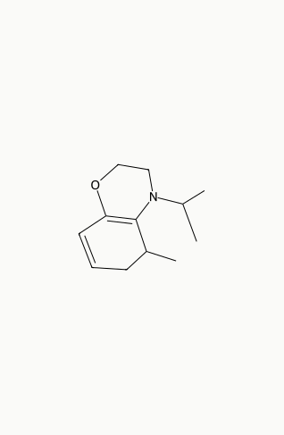 CC1CC=CC2=C1N(C(C)C)CCO2